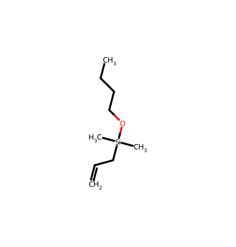 C=CC[Si](C)(C)OCCCC